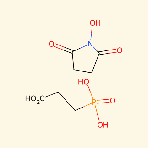 O=C(O)CCP(=O)(O)O.O=C1CCC(=O)N1O